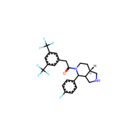 O=C(Cc1cc(C(F)(F)F)cc(C(F)(F)F)c1)N1CC[C@@H]2CNCC2C1c1ccc(F)cc1